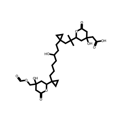 CC(C)(CC1(CCC(O)CCCCC2(C3CC(O)(COC=O)CC(=O)O3)CC2)CC1)C1CC(O)(CC(=O)O)CC(=O)O1